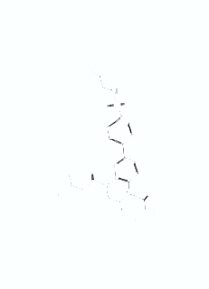 CC(=O)N1c2ccc(-c3ccc(S(=O)(=O)NCCO)cc3)cc2N(C(=O)OC(C)C)C[C@@H]1C